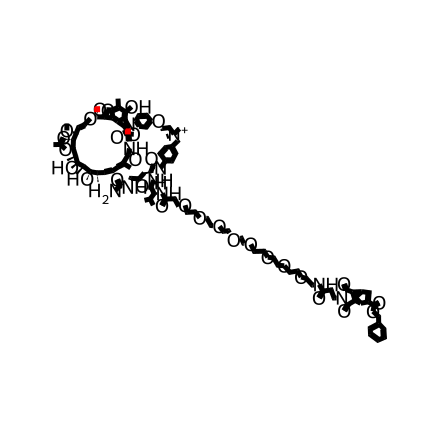 CO[C@H]1/C=C/O[C@@]2(C)Oc3c(C)c(O)c4c(=O)c(c5oc6cc(OCC[N+](C)(C)Cc7ccc(NC(=O)[C@H](CCCNC(N)=O)NC(=O)[C@@H](NC(=O)CCOCCOCCOCCOCCOCCOCCOCCOCCNC(=O)CCN8C(=O)C9C%10C=C(C(=O)OCc%11ccccc%11)C(C%10)C9C8=O)C(C)C)cc7)ccc6nc-5c4c3C2=O)NC(=O)/C(C)=C\C=C\[C@H](C)[C@H](O)[C@@H](C)[C@@H](O)[C@@H](C)[C@H](OC(C)=O)[C@@H]1C